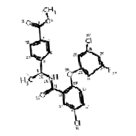 COC(=O)c1ccc([C@H](C)NC(=O)c2cc(Cl)ccc2Oc2cc(F)cc(Cl)c2)cc1